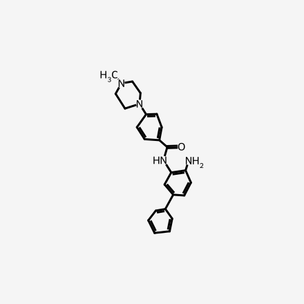 CN1CCN(c2ccc(C(=O)Nc3cc(-c4ccccc4)ccc3N)cc2)CC1